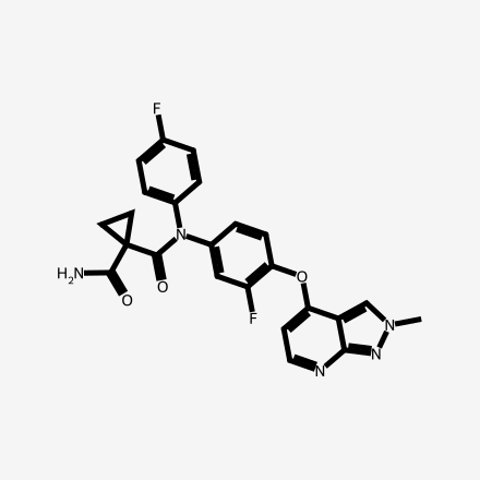 Cn1cc2c(Oc3ccc(N(C(=O)C4(C(N)=O)CC4)c4ccc(F)cc4)cc3F)ccnc2n1